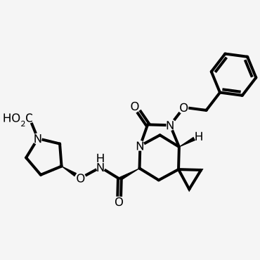 O=C(NO[C@H]1CCN(C(=O)O)C1)[C@@H]1CC2(CC2)[C@@H]2CN1C(=O)N2OCc1ccccc1